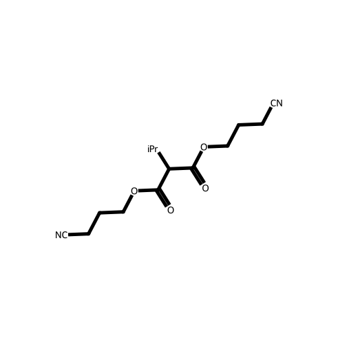 CC(C)C(C(=O)OCCCC#N)C(=O)OCCCC#N